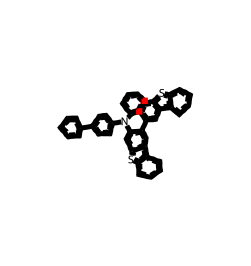 c1ccc(-c2ccc(N(c3ccccc3)c3cc4sc5ccccc5c4cc3-c3ccc4sc5ccccc5c4c3)cc2)cc1